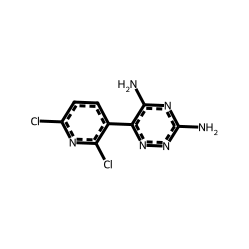 Nc1nnc(-c2ccc(Cl)nc2Cl)c(N)n1